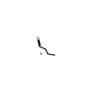 CCCC=O.[Ir]